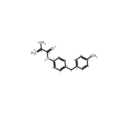 [CH2]c1ccc(Cc2ccc(OC(=O)C(=C)C)cc2)cc1